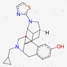 Oc1ccc2c(c1)C13CCN(CC4CC4)C(C2)C12CCC1C3[C@@H](CN1c1nccs1)C2